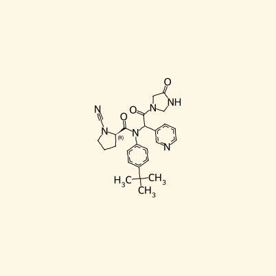 CC(C)(C)c1ccc(N(C(=O)[C@H]2CCCN2C#N)C(C(=O)N2CNC(=O)C2)c2cccnc2)cc1